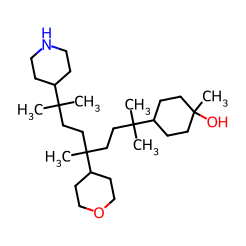 CC1(O)CCC(C(C)(C)CCC(C)(CCC(C)(C)C2CCNCC2)C2CCOCC2)CC1